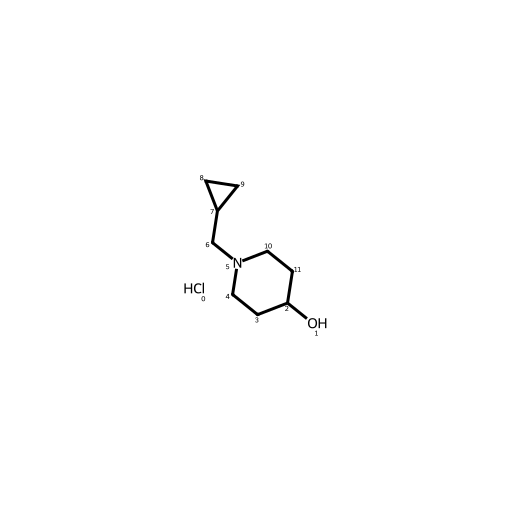 Cl.OC1CCN(CC2CC2)CC1